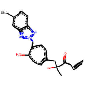 C=CC(=O)C(C)(O)Cc1ccc(O)c(-n2nc3ccc(C(C)(C)C)cc3n2)c1